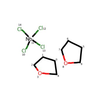 C1CCOC1.C1CCOC1.[Cl][Nb]([Cl])([Cl])[Cl]